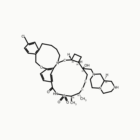 C[C@@H]1[C@@H](C)CCC[C@@](O)(CN2CCN3CCNC[C@@H]3C2)[C@@H]2CC[C@H]2CN2CCCCc3cc(Cl)ccc3COc3ccc(cc32)C(=O)NS1(=O)=O